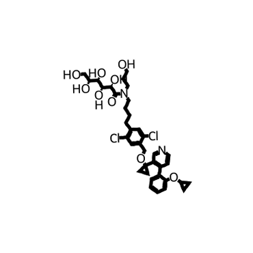 O=C([C@@H](O)[C@@H](O)[C@H](O)[C@@H](O)CO)N(CCCO)CCCCc1cc(Cl)c(COC2(c3cnccc3-c3ccccc3OC3CC3)CC2)cc1Cl